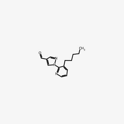 CCCCCc1cccnc1-n1cc(C=O)cn1